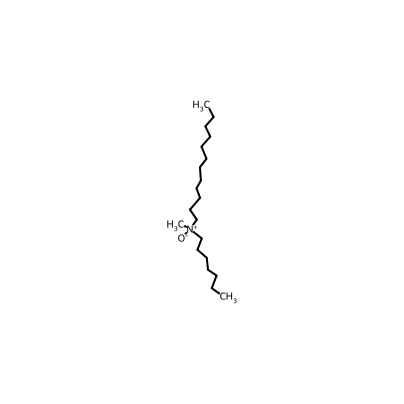 CCCCCCCCCCCC[N+](C)([O-])CCCCCCC